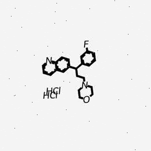 Cl.Cl.Fc1cccc(C(CCN2CCOCC2)c2ccc3ncccc3c2)c1